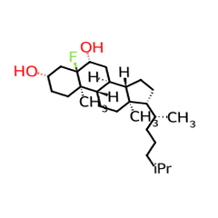 CC(C)CCC[C@@H](C)[C@H]1CC[C@H]2[C@@H]3C[C@@H](O)[C@@]4(F)C[C@@H](O)CC[C@]4(C)[C@H]3CC[C@]12C